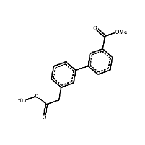 COC(=O)c1cccc(-c2cccc(CC(=O)OC(C)(C)C)c2)c1